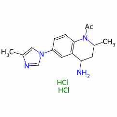 CC(=O)N1c2ccc(-n3cnc(C)c3)cc2C(N)CC1C.Cl.Cl